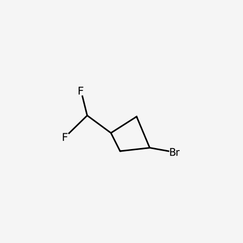 FC(F)C1CC(Br)C1